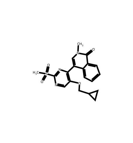 Cn1cc(-c2nc(S(C)(=O)=O)ncc2OCC2CC2)c2ccccc2c1=O